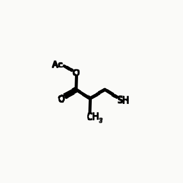 CC(=O)OC(=O)C(C)CS